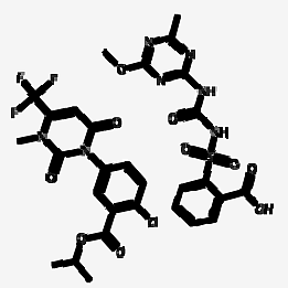 CC(C)OC(=O)c1cc(-n2c(=O)cc(C(F)(F)F)n(C)c2=O)ccc1Cl.COc1nc(C)nc(NC(=O)NS(=O)(=O)c2ccccc2C(=O)O)n1